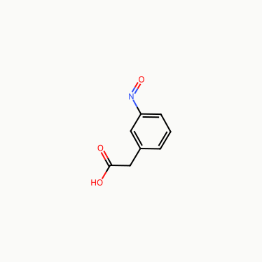 O=Nc1cccc(CC(=O)O)c1